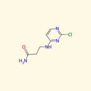 NC(=O)CCNc1ccnc(Cl)n1